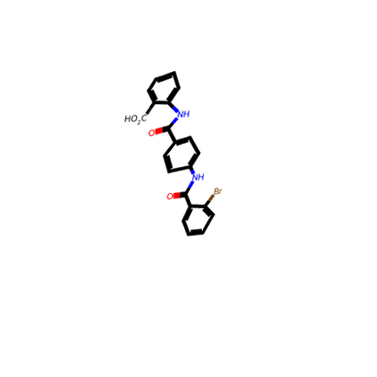 O=C(Nc1ccccc1C(=O)O)c1ccc(NC(=O)c2ccccc2Br)cc1